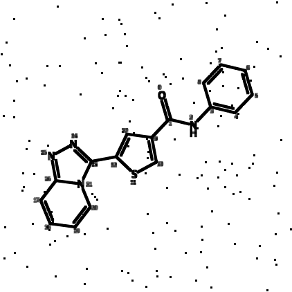 O=C(Nc1ccccc1)c1csc(-c2nnc3ccccn23)c1